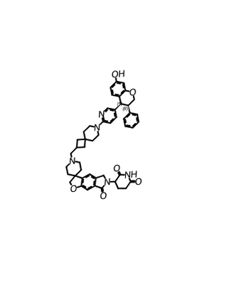 O=C1CCC(N2Cc3cc4c(cc3C2=O)OCC42CCN(CC3CC4(CCN(c5ccc([C@H]6c7ccc(O)cc7OC[C@H]6c6ccccc6)cn5)CC4)C3)CC2)C(=O)N1